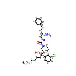 COCCCC[C@@](O)(c1cccc(Cl)c1)[C@@H]1CCCN(C(=O)NC[C@@H](N)CCc2ccccc2)C1